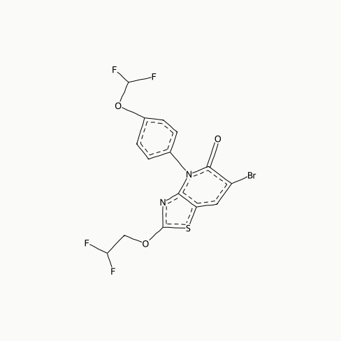 O=c1c(Br)cc2sc(OCC(F)F)nc2n1-c1ccc(OC(F)F)cc1